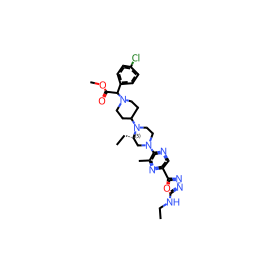 CCNc1nnc(-c2cnc(N3CCN(C4CCN(C(C(=O)OC)c5ccc(Cl)cc5)CC4)[C@@H](CC)C3)c(C)n2)o1